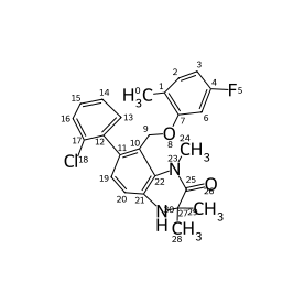 Cc1ccc(F)cc1OCc1c(-c2ccccc2Cl)ccc2c1N(C)C(=O)C(C)(C)N2